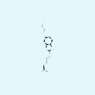 FCCOc1ccc2nc(SCCC=C(F)F)oc2c1